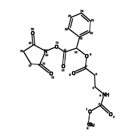 CC(C)(C)OC(=O)NCCC(=O)OC(C(=O)ON1C(=O)CCC1=O)c1ccccc1